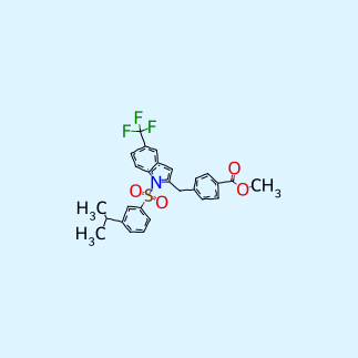 COC(=O)c1ccc(Cc2cc3cc(C(F)(F)F)ccc3n2S(=O)(=O)c2cccc(C(C)C)c2)cc1